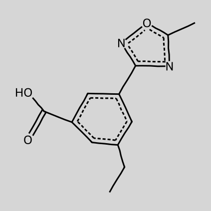 CCc1cc(C(=O)O)cc(-c2noc(C)n2)c1